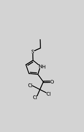 CCSc1ccc(C(=O)C(Cl)(Cl)Cl)[nH]1